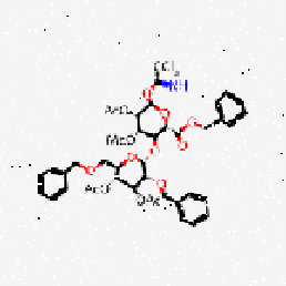 CO[C@H]1C(O[C@H]2OC(COCc3ccccc3)[C@@H](OC(C)=O)[C@H](OC(C)=O)[C@H]2OCc2ccccc2)[C@@H](C(=O)OCc2ccccc2)OC(OC(=N)C(Cl)(Cl)Cl)[C@@H]1OC(C)=O